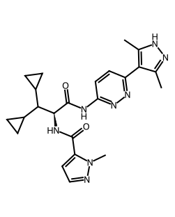 Cc1n[nH]c(C)c1-c1ccc(NC(=O)[C@@H](NC(=O)c2ccnn2C)C(C2CC2)C2CC2)nn1